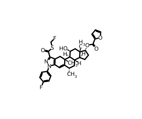 C[C@H]1C[C@@H]2[C@H]([C@@H](O)C[C@]3(C)[C@H](OC(=O)c4ccco4)CC[C@@H]23)[C@@]2(C)Cc3c(C(=O)SCF)nn(-c4ccc(F)cc4)c3C=C12